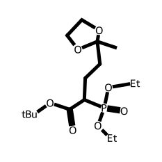 CCOP(=O)(OCC)C(CCC1(C)OCCO1)C(=O)OC(C)(C)C